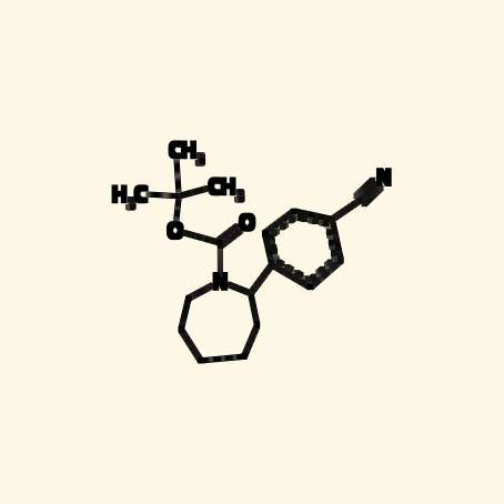 CC(C)(C)OC(=O)N1CCCCCC1c1ccc(C#N)cc1